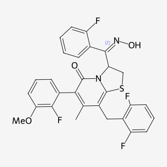 COc1cccc(-c2c(C)c(Cc3c(F)cccc3F)c3n(c2=O)C(/C(=N\O)c2ccccc2F)CS3)c1F